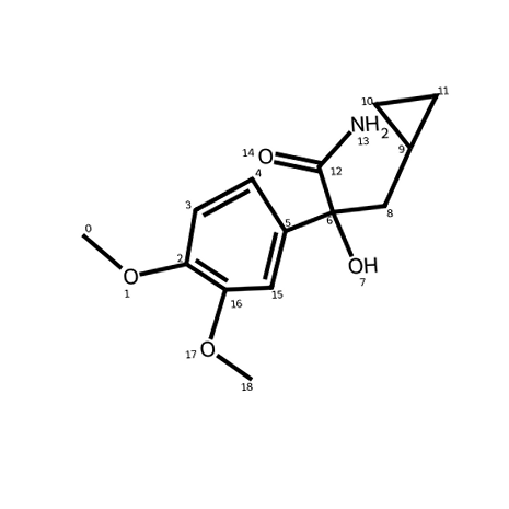 COc1ccc(C(O)(CC2CC2)C(N)=O)cc1OC